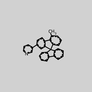 Cc1cccc2c1-c1ccc(-c3cccnc3)cc1C21c2ccccc2-c2ccccc21